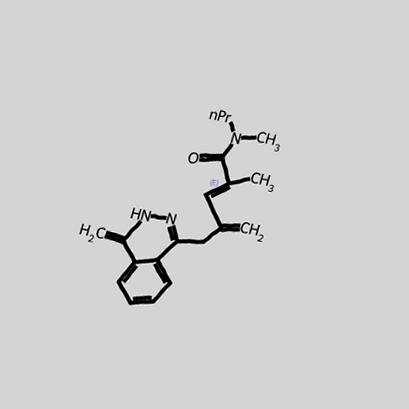 C=C(/C=C(\C)C(=O)N(C)CCC)CC1=NNC(=C)c2ccccc21